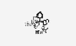 CC(C)(C)[S+]([O-])N[C@](C)(c1ccccc1F)[C@H]1COC[C@H]1O[Si](C)(C)C(C)(C)C